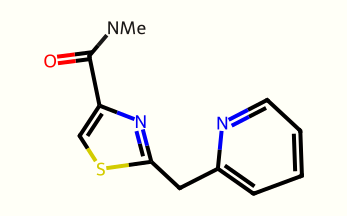 CNC(=O)c1csc(Cc2ccccn2)n1